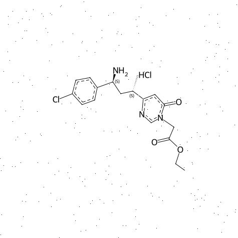 CCOC(=O)Cn1cnc([C@@H](C)C[C@H](N)c2ccc(Cl)cc2)cc1=O.Cl